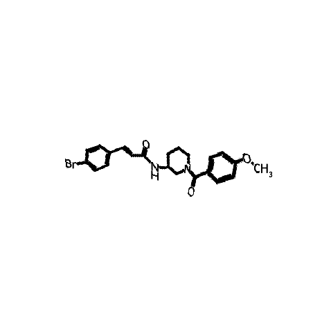 COc1ccc(C(=O)N2CCCC(NC(=O)/C=C/c3ccc(Br)cc3)C2)cc1